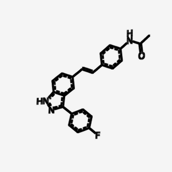 CC(=O)Nc1ccc(C=Cc2ccc3[nH]nc(-c4ccc(F)cc4)c3c2)cc1